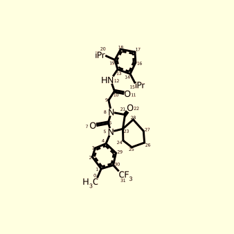 Cc1ccc(N2C(=O)N(CC(=O)Nc3c(C(C)C)cccc3C(C)C)C(=O)C23CCCCC3)cc1C(F)(F)F